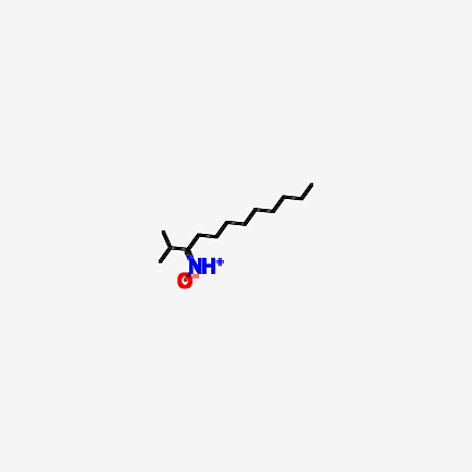 CCCCCCCCCC(=[NH+][O-])C(C)C